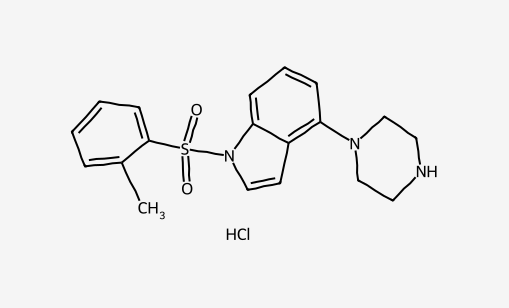 Cc1ccccc1S(=O)(=O)n1ccc2c(N3CCNCC3)cccc21.Cl